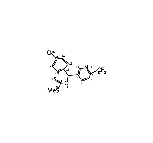 CSC(=S)OC(c1ccc(C(F)(F)F)nc1)c1ccc(Cl)cn1